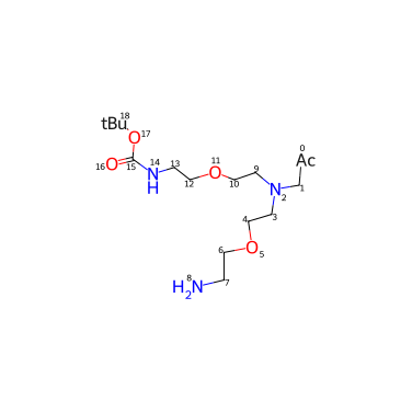 CC(=O)CN(CCOCCN)CCOCCNC(=O)OC(C)(C)C